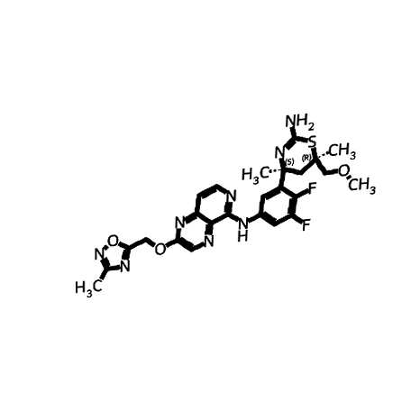 COC[C@@]1(C)C[C@@](C)(c2cc(Nc3nccc4nc(OCc5nc(C)no5)cnc34)cc(F)c2F)N=C(N)S1